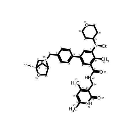 CCN(c1cc(-c2ccc(CN3C[C@H]4CC3CO4)cc2)cc(C(=O)NCc2c(C)cc(C)[nH]c2=O)c1C)C1CCOCC1